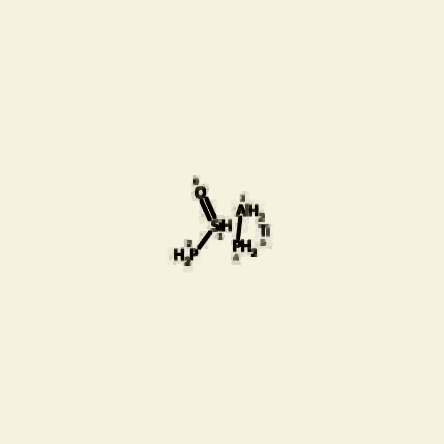 O=[SiH]P.[AlH2][PH2].[Ti]